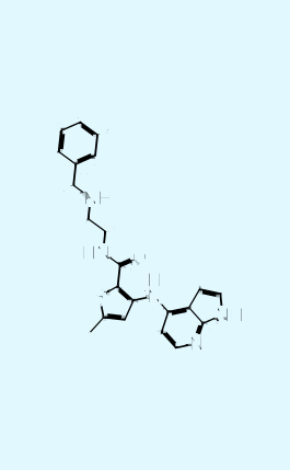 Cc1cc(Nc2ccnc3[nH]ccc23)c(C(=O)NCCNCc2ccccc2)s1